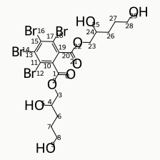 O=C(OCC(O)CCCO)c1c(Br)c(Br)c(Br)c(Br)c1C(=O)OCC(O)CCCO